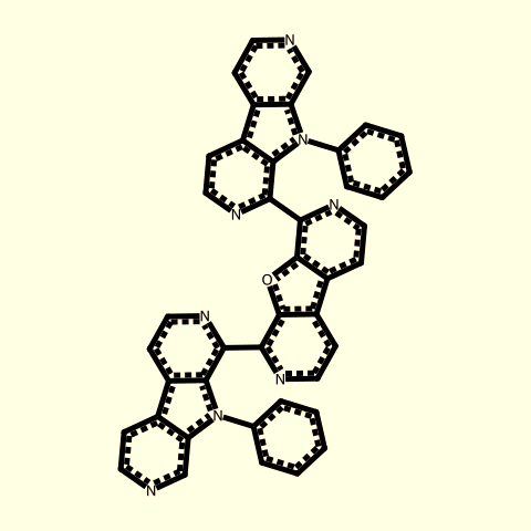 c1ccc(-n2c3cnccc3c3ccnc(-c4nccc5c4oc4c(-c6nccc7c8ccncc8n(-c8ccccc8)c67)nccc45)c32)cc1